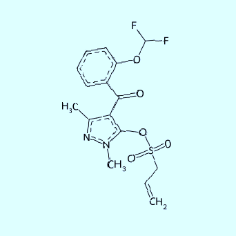 C=CCS(=O)(=O)Oc1c(C(=O)c2ccccc2OC(F)F)c(C)nn1C